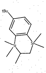 CC1C[Si](C)(C)c2ccc(C(C)(C)C)cc2[Si]1(C)C